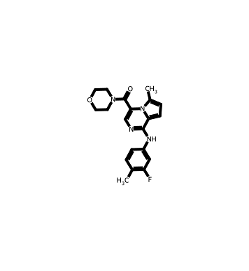 Cc1ccc(Nc2ncc(C(=O)N3CCOCC3)n3c(C)ccc23)cc1F